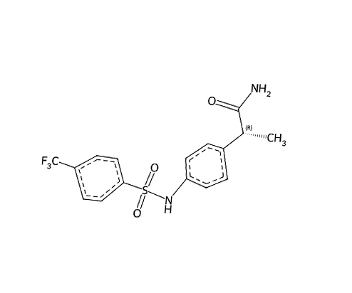 C[C@@H](C(N)=O)c1ccc(NS(=O)(=O)c2ccc(C(F)(F)F)cc2)cc1